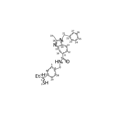 CC[SH](S)c1ccc(CNC(=O)c2ccc3c(c2)nc(C)n3Cc2ccccc2)cc1